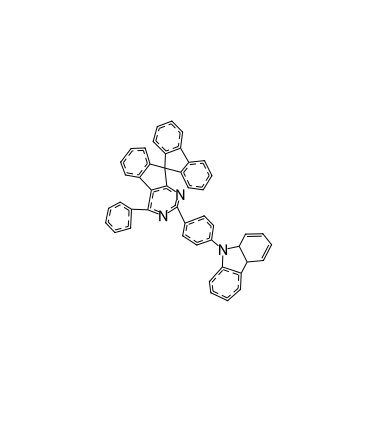 C1=CC2c3ccccc3N(c3ccc(-c4nc(-c5ccccc5)c5c(n4)C4(c6ccccc6-c6ccccc64)c4ccccc4-5)cc3)C2C=C1